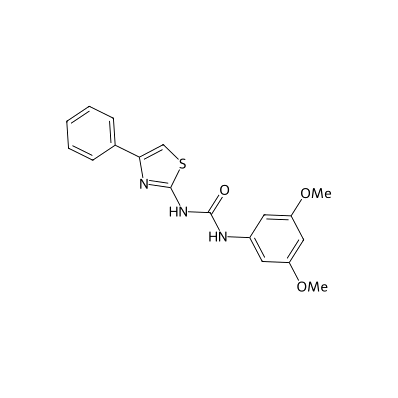 COc1cc(NC(=O)Nc2nc(-c3ccccc3)cs2)cc(OC)c1